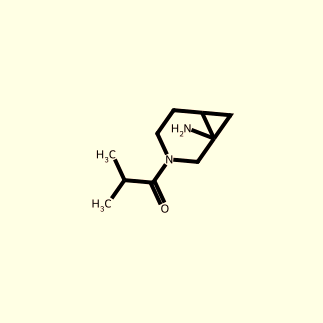 CC(C)C(=O)N1CCC2CC2(N)C1